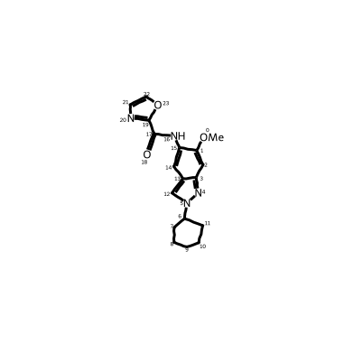 COc1cc2nn(C3CCCCC3)cc2cc1NC(=O)c1ncco1